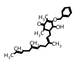 CC(C)=CCC/C(C)=C/CC/C(C)=C/CC1C(C)C(=O)C(C)=C(OCc2ccccc2)C1O